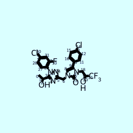 CC(O)c1nc(Cn2cc(-c3ccc(Cl)cc3)n(CC(O)C(F)(F)F)c2=O)nn1-c1ccc(Cl)cc1F